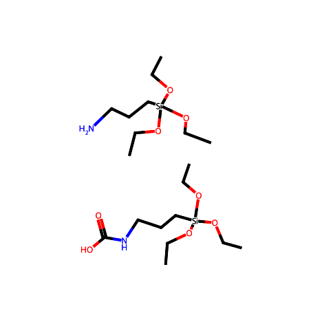 CCO[Si](CCCN)(OCC)OCC.CCO[Si](CCCNC(=O)O)(OCC)OCC